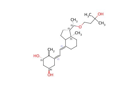 C=C1/C(=C\C=C2/CCC[C@@]3(C)C2CC[C@@H]3[C@H](C)OCCC(C)(C)O)C[C@@H](O)C[C@@H]1O